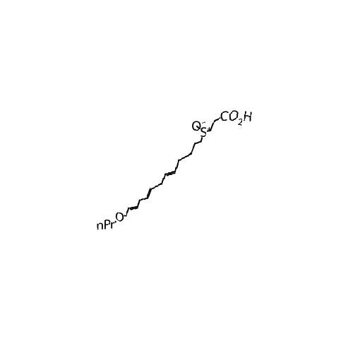 CCCOC/C=C/C/C=C/C/C=C/CCCC[S+]([O-])CCC(=O)O